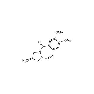 C=C1CC2C=Nc3cc(OC)c(OC)cc3C(=O)N2C1